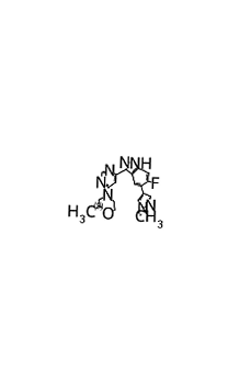 C[C@H]1CN(c2cc(-c3n[nH]c4cc(F)c(-c5cnn(C)c5)cc34)ncn2)CCO1